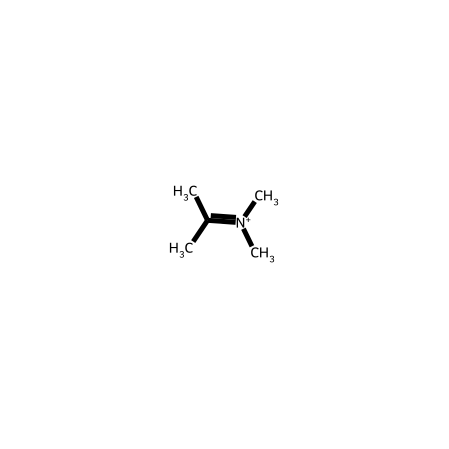 CC(C)=[N+](C)C